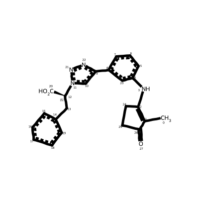 CC1=C(Nc2cccc(-c3cn([C@@H](Cc4ccccc4)C(=O)O)nn3)c2)CCC1=O